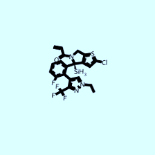 C=CC(=O)N1Cc2sc(Cl)cc2[C@]1([SiH3])c1cccc(F)c1-c1cn(CC)nc1C(F)(F)F